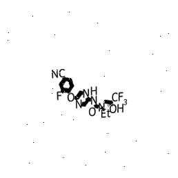 CCN(C[C@@H](O)C(F)(F)F)C(=O)Nc1cnc(Oc2ccc(C#N)cc2F)cn1